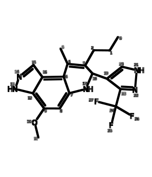 CCCC1=C(C)c2c(cc(OC)c3[nH]ncc23)NC1c1c[nH]nc1C(F)(F)F